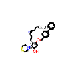 O=C(O)CC/C=C\CC[C@@H]1[C@@H](N2CCSCC2)[C@H](O)C[C@@H]1OCc1ccc(-c2ccccc2)cc1